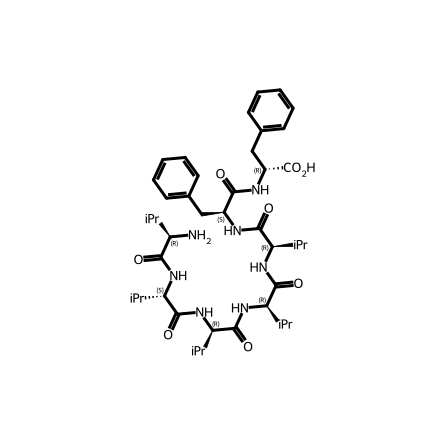 CC(C)[C@H](NC(=O)[C@H](N)C(C)C)C(=O)N[C@@H](C(=O)N[C@@H](C(=O)N[C@@H](C(=O)N[C@@H](Cc1ccccc1)C(=O)N[C@H](Cc1ccccc1)C(=O)O)C(C)C)C(C)C)C(C)C